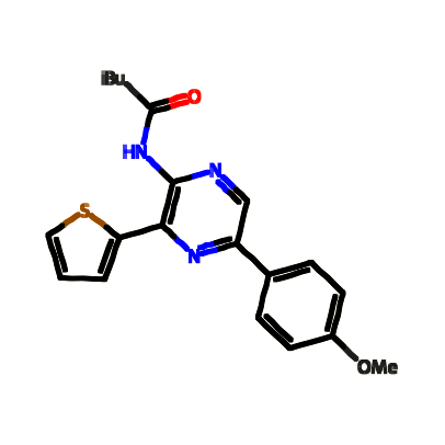 CCC(C)C(=O)Nc1ncc(-c2ccc(OC)cc2)nc1-c1cccs1